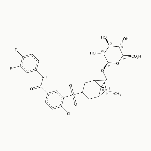 C[C@H]1CC2CC(S(=O)(=O)c3cc(C(=O)Nc4ccc(F)c(F)c4)ccc3Cl)CC1[C@@]2(O)CO[C@@H]1O[C@H](C(=O)O)[C@@H](O)[C@H](O)[C@H]1O